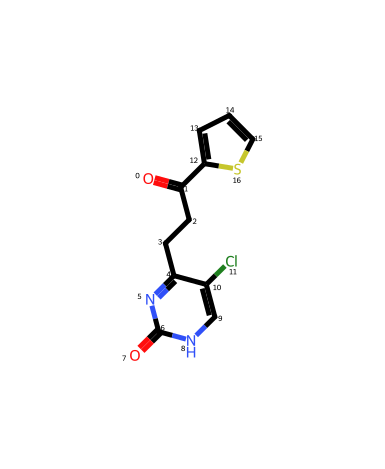 O=C(CCc1nc(=O)[nH]cc1Cl)c1cccs1